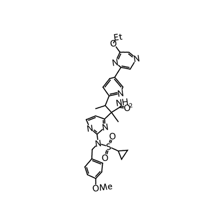 CCOc1cncc(-c2ccc(C(C)C(C)(C(N)=O)c3ccnc(N(Cc4ccc(OC)cc4)S(=O)(=O)C4CC4)n3)nc2)n1